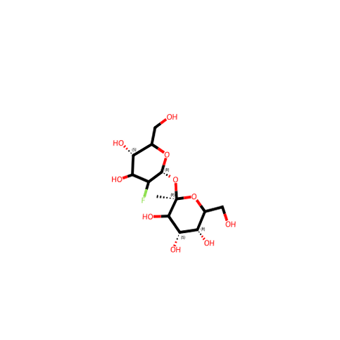 C[C@]1(O[C@H]2OC(CO)[C@@H](O)C(O)C2F)OC(CO)[C@H](O)[C@H](O)C1O